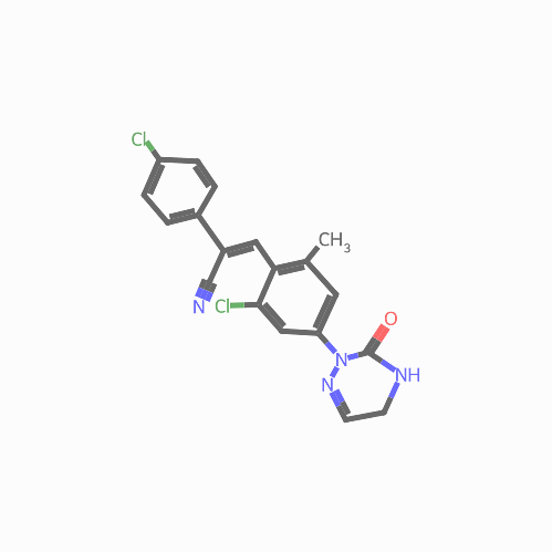 Cc1cc(N2N=CCNC2=O)cc(Cl)c1C=C(C#N)c1ccc(Cl)cc1